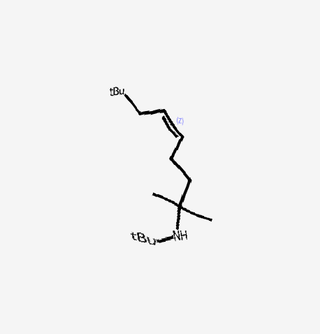 CC(C)(C)C/C=C\CCC(C)(C)NC(C)(C)C